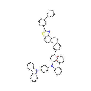 c1ccc(-c2cccc(-c3nc4c(ccc5c6cc(-c7ccc(N(c8ccc(-n9c%10ccccc%10c%10ccccc%109)cc8)c8ccccc8-c8ccccc8)cc7)ccc6ccc54)s3)c2)cc1